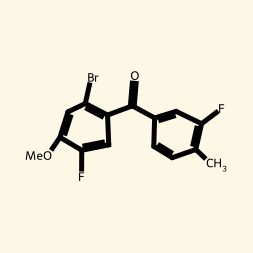 COc1cc(Br)c(C(=O)c2ccc(C)c(F)c2)cc1F